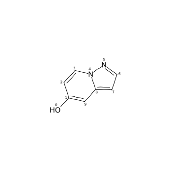 Oc1ccn2nccc2c1